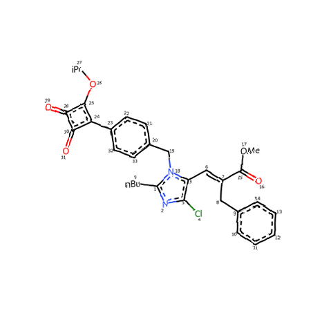 CCCCc1nc(Cl)c(C=C(Cc2ccccc2)C(=O)OC)n1Cc1ccc(-c2c(OC(C)C)c(=O)c2=O)cc1